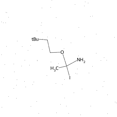 CC(C)(C)CCOC(C)(N)I